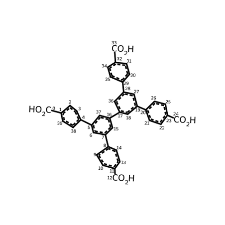 O=C(O)c1ccc(-c2cc(-c3ccc(C(=O)O)cc3)cc(-c3cc(-c4ccc(C(=O)O)cc4)cc(-c4ccc(C(=O)O)cc4)c3)c2)cc1